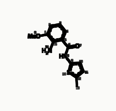 COc1cccc(C(=O)Nc2ccc(C)s2)c1N